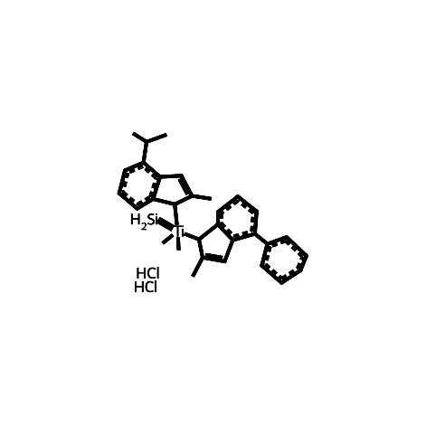 CC1=Cc2c(-c3ccccc3)cccc2[CH]1[Ti]([CH3])([CH3])(=[SiH2])[CH]1C(C)=Cc2c(C(C)C)cccc21.Cl.Cl